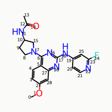 COc1ccc2c(N3CCC(NC(C)=O)C3)nc(Nc3ccnc(F)c3)nc2c1